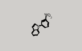 O=[N+]([O-])c1cccc(-n2ccc3ccccc32)c1